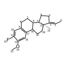 CC=C1CCC2C3CCc4cc(F)c(OC)cc4C3CC[C@]12C